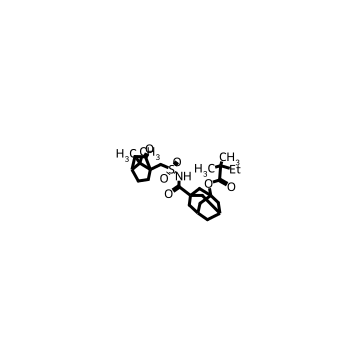 CCC(C)(C)C(=O)OC12CC3CC(C1)CC(C(=O)NS(=O)(=O)CC14CCC(CC1=O)C4(C)C)(C3)C2